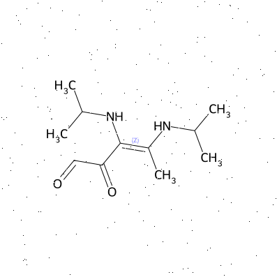 C/C(NC(C)C)=C(/NC(C)C)C(=O)C=O